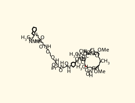 CNN(C)Cc1cc2ccccc2n1CCC(=O)NCC(=O)NCCOCCOCCC(=O)NC(C(=O)NCC(=O)Nc1ccc(COC(=O)N(C)[C@@H](C)C(=O)O[C@H]2CC(=O)N(C)c3cc(cc(OC)c3Cl)C/C(C)=C/C=C/[C@@H](OC)[C@@]3(O)C[C@H](OC(=O)N3)[C@@H](C)CC2(C)O)cc1)C(C)C